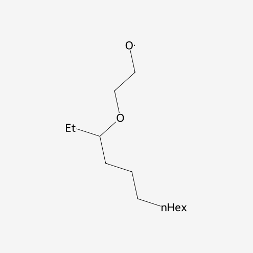 CCCCCCCCCC(CC)OCC[O]